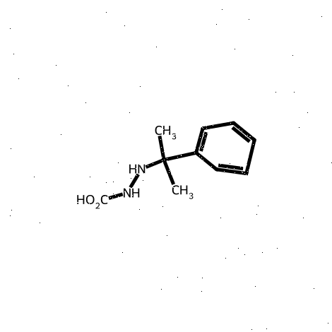 CC(C)(NNC(=O)O)c1ccccc1